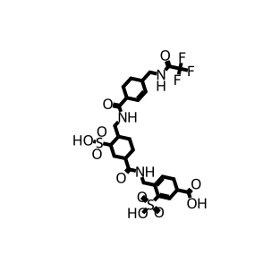 O=C(O)C1C=C(S(=O)(=O)O)C(CNC(=O)C2CCC(CNC(=O)C3C=CC(CNC(=O)C(F)(F)F)CC3)C(S(=O)(=O)O)C2)=CC1